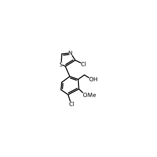 COc1c(Cl)ccc(-c2scnc2Cl)c1CO